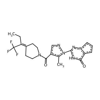 CCC(=C1CCN(C(=O)c2cnn(-c3nn4cccc4c(=O)[nH]3)c2C)CC1)C(F)(F)F